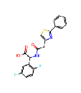 O=C(Cc1csc(-c2ccccc2)n1)NC(C(=O)O)c1cc(F)ccc1F